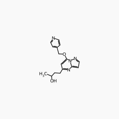 CC(O)CCc1cc(OCc2ccncc2)n2nccc2n1